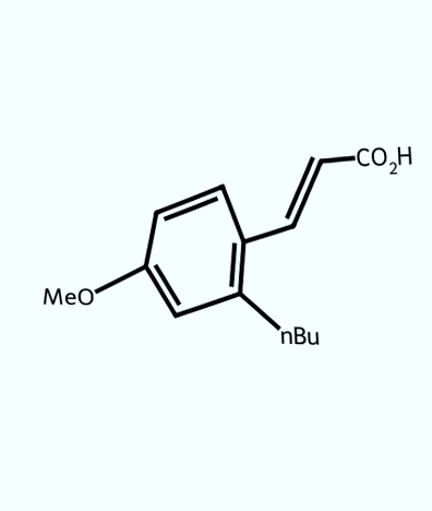 CCCCc1cc(OC)ccc1C=CC(=O)O